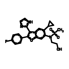 CS(=O)(=O)N(CCO)c1cc2oc(-c3ccc(F)cc3)c(-c3ncc[nH]3)c2cc1C1CC1